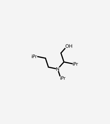 CC(C)CCN(C(C)C)C(CO)C(C)C